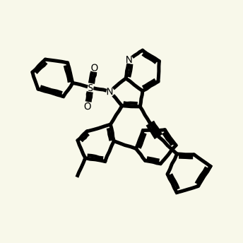 Cc1ccc(-c2c(C#Cc3ccccc3)c3cccnc3n2S(=O)(=O)c2ccccc2)c(-c2ccccc2)c1